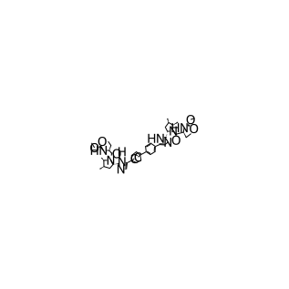 CC[C@H](NC(=O)OC)C(=O)N1[C@H](C)[C@H](C)C[C@H]1c1ncc(-c2ccc(C34CCC(c5cnc([C@@H]6C[C@@H](C)[C@@H](C)N6C(=O)[C@H](CC)NC(=O)OC)[nH]5)(CC3)CC4)cc2)[nH]1